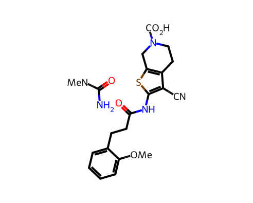 CNC(N)=O.COc1ccccc1CCC(=O)Nc1sc2c(c1C#N)CCN(C(=O)O)C2